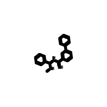 CNC(NC(=N)c1cccc(-c2ccccc2)c1)c1ccccc1